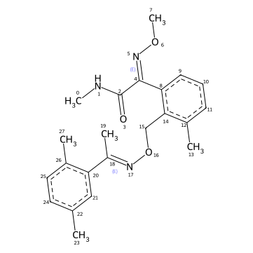 CNC(=O)/C(=N/OC)c1cccc(C)c1CO/N=C(\C)c1cc(C)ccc1C